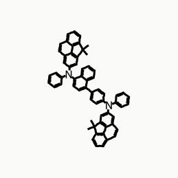 CC1(C)c2cccc3ccc4cc(N(c5ccccc5)c5ccc(-c6ccc(N(c7ccccc7)c7cc8c9c(ccc%10cccc(c%109)C8(C)C)c7)c7ccccc67)cc5)cc1c4c23